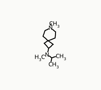 CC(C)N(C)C1CC2(CCN(C)CC2)C1